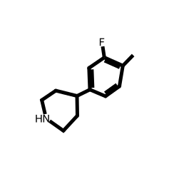 Cc1ccc(C2CCNCC2)cc1F